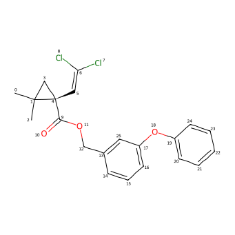 CC1(C)C[C@]1(C=C(Cl)Cl)C(=O)OCc1cccc(Oc2ccccc2)c1